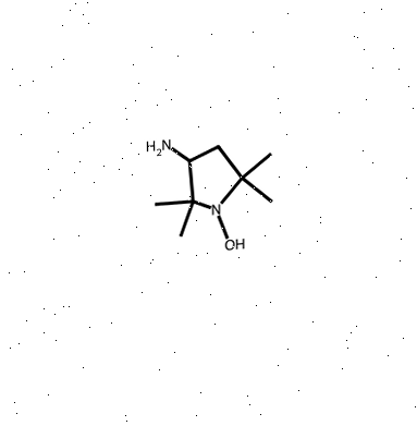 CC1(C)CC(N)C(C)(C)N1O